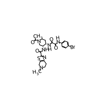 CC(=O)N1CC[C@H](NC(=O)C(=O)Nc2ccc(Br)cc2)[C@H](NC(=O)c2nc3c(s2)CN(C)CC3)C1